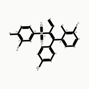 C=C/C(=C(/c1ccc(Cl)cc1)c1cccc(F)c1C)S(=O)(=O)c1ccc(C)c(F)c1